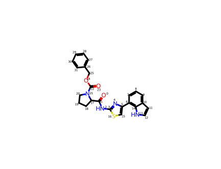 O=C(Nc1nc(-c2cccc3cc[nH]c23)cs1)C1CCCN1C(=O)OCc1ccccc1